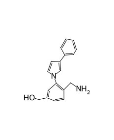 NCc1ccc(CO)cc1-n1ccc(-c2ccccc2)c1